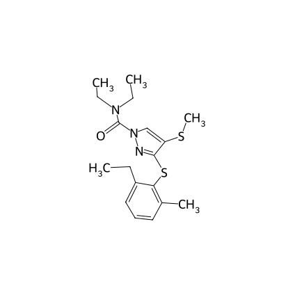 CCc1cccc(C)c1Sc1nn(C(=O)N(CC)CC)cc1SC